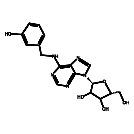 OC[C@H]1O[C@@H](n2cnc3c(NCc4cccc(O)c4)ncnc32)C(O)C1O